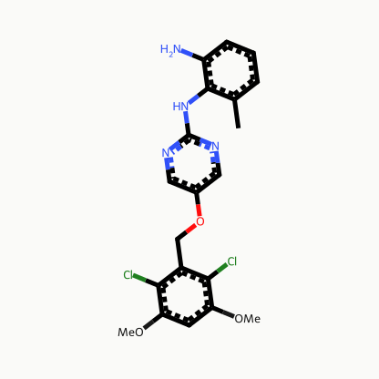 COc1cc(OC)c(Cl)c(COc2cnc(Nc3c(C)cccc3N)nc2)c1Cl